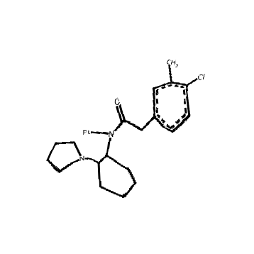 CCN(C(=O)Cc1ccc(Cl)c(C)c1)C1CCCCC1N1CCCC1